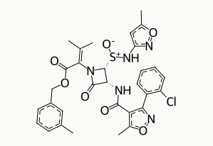 CC(C)=C(C(=O)OCc1cccc(C)c1)N1C(=O)[C@@H](NC(=O)c2c(-c3ccccc3Cl)noc2C)[C@H]1[S+]([O-])Nc1cc(C)on1